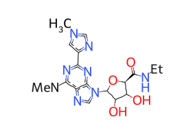 CCNC(=O)[C@@H]1OC(n2cnc3c(NC)nc(-c4cn(C)cn4)nc32)C(O)C1O